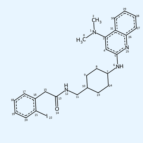 CN(C)c1cc(NC2CCC(CNC(=O)Cc3ccccc3I)CC2)nc2ccccc12